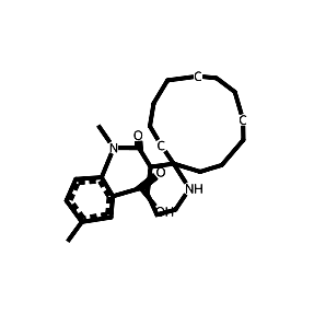 Cc1ccc(N(C)C(=O)C2CCCNC23CCCCCCCCCCC3)c(C(=O)O)c1